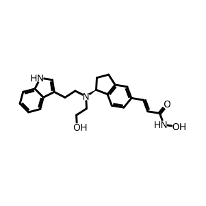 O=C(C=Cc1ccc2c(c1)CC[C@@H]2N(CCO)CCc1c[nH]c2ccccc12)NO